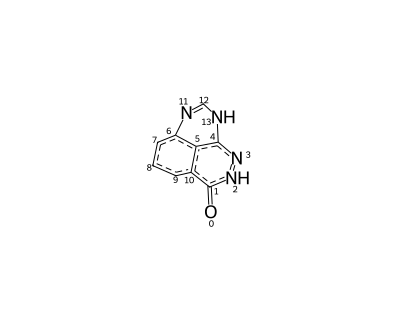 O=c1[nH]nc2c3c(cccc13)N=CN2